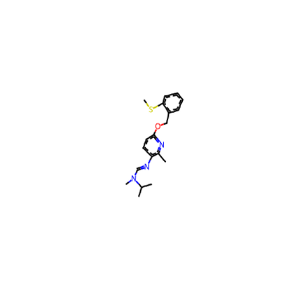 CSc1ccccc1COc1ccc(/N=C/N(C)C(C)C)c(C)n1